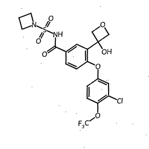 O=C(NS(=O)(=O)N1CCC1)c1ccc(Oc2ccc(OC(F)(F)F)c(Cl)c2)c(C2(O)COC2)c1